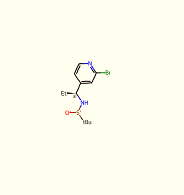 CC[C@H](N[S+]([O-])C(C)(C)C)c1ccnc(Br)c1